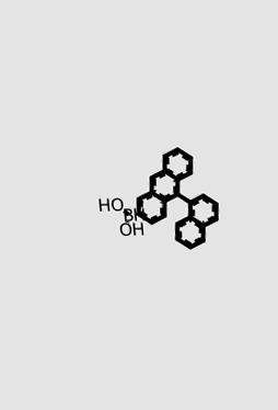 OBO.c1ccc2c(-c3c4ccccc4cc4ccccc34)cccc2c1